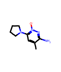 Cc1cc(N2CCCC2)[n+]([O-])nc1N